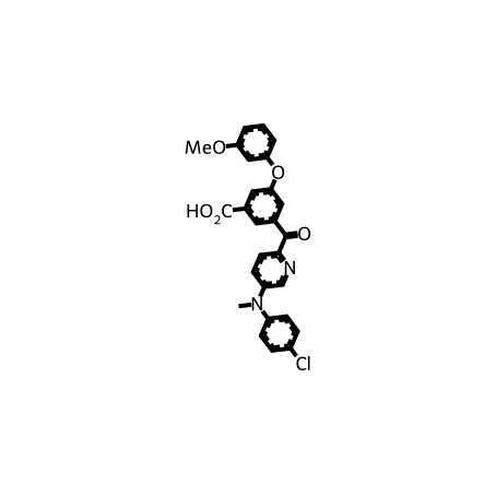 COc1cccc(Oc2cc(C(=O)O)cc(C(=O)c3ccc(N(C)c4ccc(Cl)cc4)cn3)c2)c1